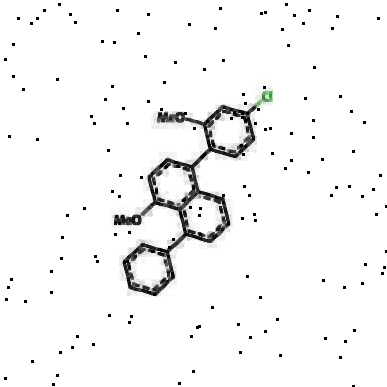 COc1cc(Cl)ccc1-c1ccc(OC)c2c(-c3ccccc3)cccc12